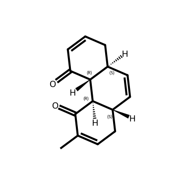 CC1=CC[C@H]2C=C[C@@H]3CC=CC(=O)[C@H]3[C@@H]2C1=O